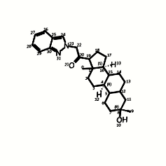 CC12CC[C@@H]3C4CC[C@@](C)(O)CC4CCC3[C@@H]1CCC2C(=O)Cn1cc2ccccc2n1